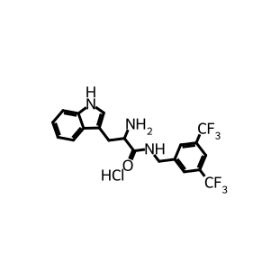 Cl.NC(Cc1c[nH]c2ccccc12)C(=O)NCc1cc(C(F)(F)F)cc(C(F)(F)F)c1